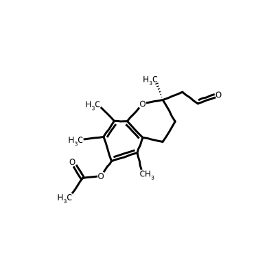 CC(=O)Oc1c(C)c(C)c2c(c1C)CC[C@](C)(CC=O)O2